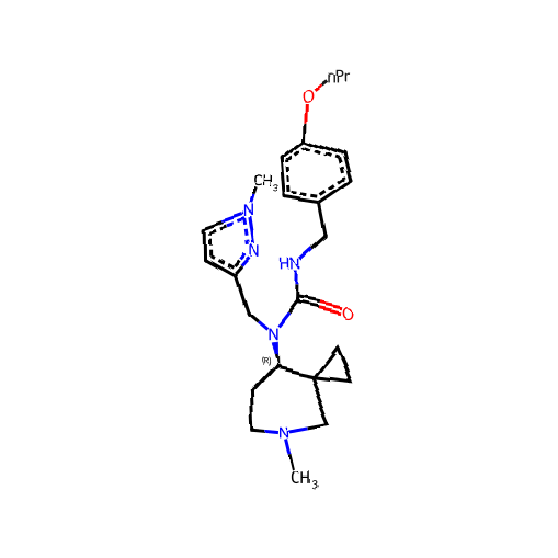 CCCOc1ccc(CNC(=O)N(Cc2ccn(C)n2)[C@@H]2CCN(C)CC23CC3)cc1